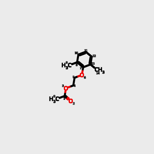 CC(=O)OCCOc1c(C)cccc1C